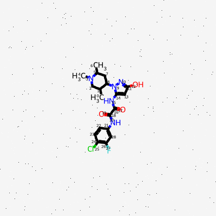 CC1CN(C)C(C)CC1n1nc(O)cc1NC(=O)C(=O)Nc1ccc(Cl)c(F)c1